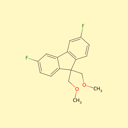 COCC1(COC)c2ccc(F)cc2-c2cc(F)ccc21